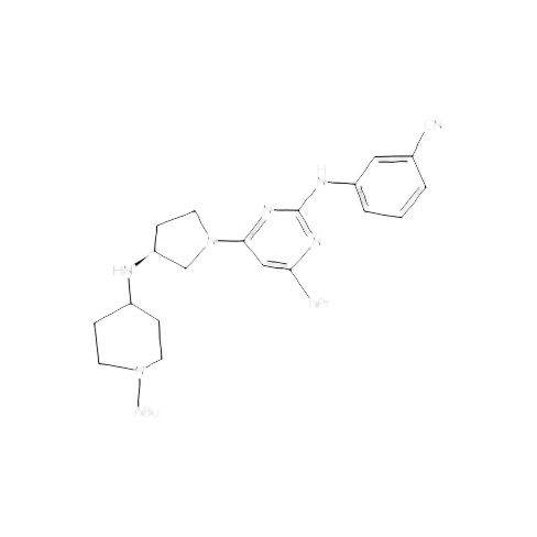 CCCCN1CCC(N[C@H]2CCN(c3cc(CCC)nc(Nc4cccc(C#N)c4)n3)C2)CC1